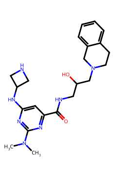 CN(C)c1nc(NC2CNC2)cc(C(=O)NCC(O)CN2CCc3ccccc3C2)n1